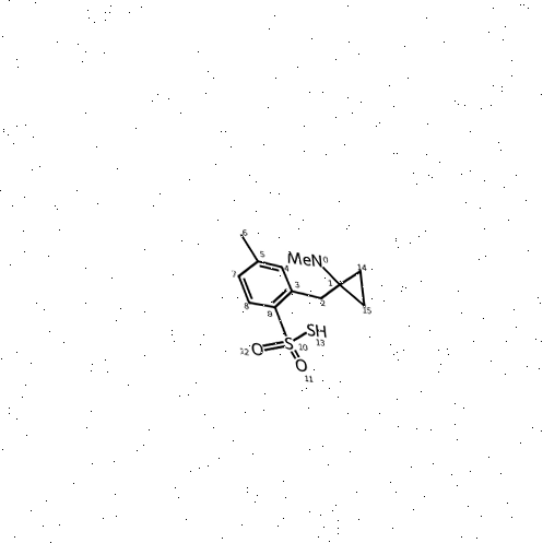 CNC1(Cc2cc(C)ccc2S(=O)(=O)S)CC1